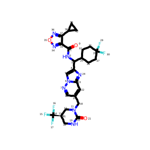 O=C(NC(c1cn2ncc(CN3C[C@H](C(F)(F)F)CNC3=O)cc2n1)C1CCC(F)(F)CC1)c1nonc1C1CC1